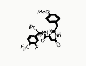 COc1ccc(Cc2nc(C(=O)N[C@@H](c3ccc(C(F)(F)F)c(F)c3)C(C)C)cc(=O)[nH]2)cc1